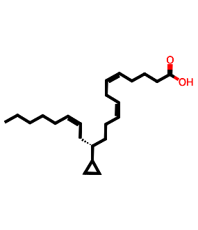 CCCCC/C=C\C[C@H](CC/C=C\C/C=C\CCCC(=O)O)C1CC1